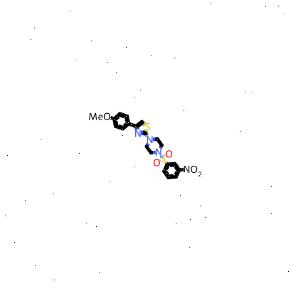 COc1ccc(-c2csc(N3CCN(S(=O)(=O)c4cccc([N+](=O)[O-])c4)CC3)n2)cc1